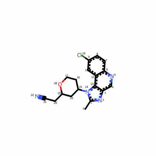 Cc1nc2cnc3ccc(Cl)cc3c2n1C1CCOC(CC#N)C1